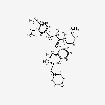 C=C(CN1CCOCC1)Sc1ccc([C@H]2CCC(C)CN2C(=O)C(=O)Nc2cnc(N)c(CC)c2)cc1C